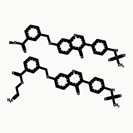 C=CCOC(=O)c1cccc(COc2ccc3c(=O)c(-c4ccc(NS(C)(=O)=O)cc4)coc3c2)c1.COC(=O)c1cccc(COc2ccc3c(=O)c(-c4ccc(NS(C)(=O)=O)cc4)coc3c2)c1